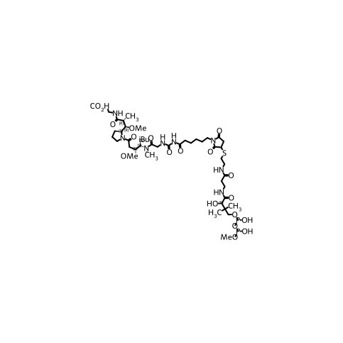 CC[C@H](C)[C@@H]([C@@H](CC(=O)N1CCC[C@H]1[C@H](OC)[C@@H](C)C(=O)NCC(=O)O)OC)N(C)C(=O)CNC(=O)NC(=O)CCCCCN1C(=O)CC(SCCNC(=O)CCNC(=O)[C@H](O)C(C)(C)COP(O)OP(O)OC)C1=O